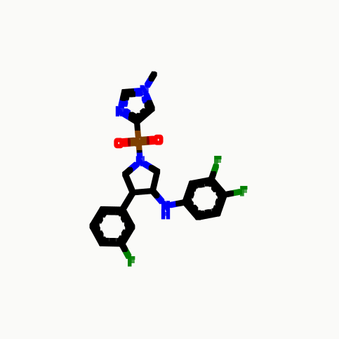 Cn1cnc(S(=O)(=O)N2CC(Nc3ccc(F)c(F)c3)C(c3cccc(F)c3)C2)c1